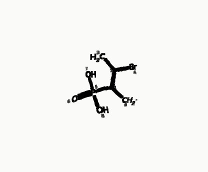 [CH2]C(C(C)Br)P(=O)(O)O